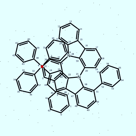 c1ccc(-c2cccc(-n3c4ccccc4c4cccc(-n5c6cc([Si](c7ccccc7)(c7ccccc7)c7ccccc7)ccc6c6cccc(-c7ccccc7)c65)c43)c2)cc1